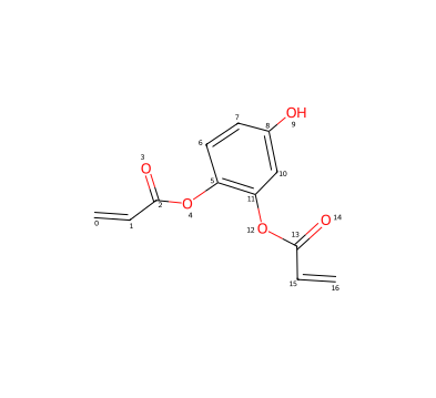 C=CC(=O)Oc1ccc(O)cc1OC(=O)C=C